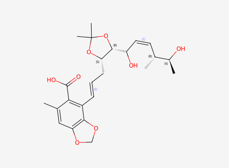 Cc1cc2c(c(/C=C/C[C@@H]3OC(C)(C)O[C@@H]3C(O)/C=C\[C@@H](C)[C@H](C)O)c1C(=O)O)OCO2